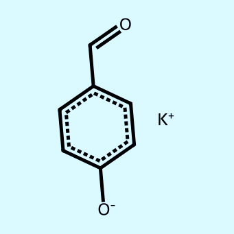 O=Cc1ccc([O-])cc1.[K+]